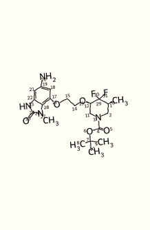 C[C@H]1CN(C(=O)OC(C)(C)C)C[C@@H](OCCOc2cc(N)cc3[nH]c(=O)n(C)c23)C1(F)F